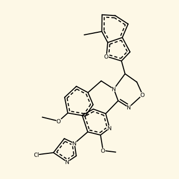 COc1ccc(CN2C(c3ccc(-n4cnc(Cl)c4)c(OC)n3)=NOCC2c2cc3cccc(C)c3o2)cc1